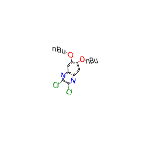 CCCCOc1cc2nc(Cl)c(Cl)nc2cc1OCCCC